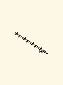 CCCNCCOCCOCCOCCOCCOCCOCCOC